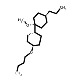 CCCCO[C@H]1CC[C@H]([C@]2(OC)CC[C@H](CCC)CC2)CC1